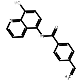 C=Cc1ccc(C(=O)Nc2ccc(O)c3ncccc23)cc1